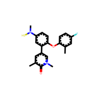 Cc1cc(F)ccc1Oc1ccc(N(C)S)cc1-c1cc(C)c(=O)n(C)c1